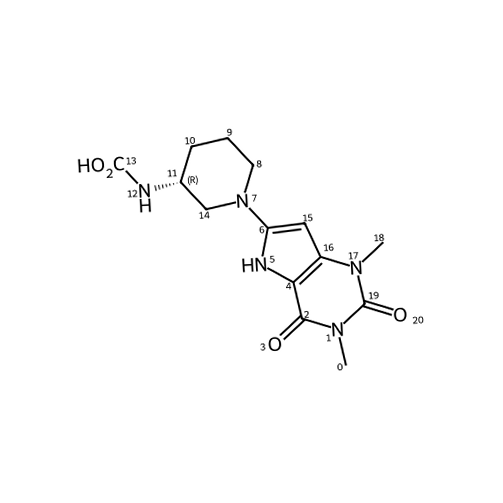 Cn1c(=O)c2[nH]c(N3CCC[C@@H](NC(=O)O)C3)cc2n(C)c1=O